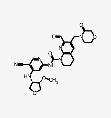 CO[C@H]1COC[C@@H]1Nc1cc(NC(=O)N2CCCc3cc(CN4CCOCC4=O)c(C=O)nc32)ncc1C#N